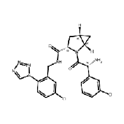 N[C@@H](C(=O)N1[C@H](C(=O)NCc2cc(Cl)ccc2-n2cnnn2)C[C@@H]2C[C@@H]21)c1cccc(Cl)c1